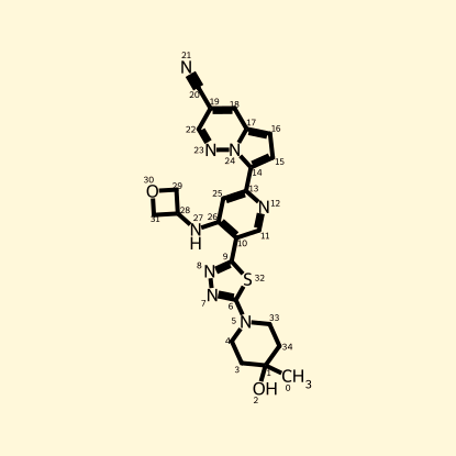 CC1(O)CCN(c2nnc(-c3cnc(-c4ccc5cc(C#N)cnn45)cc3NC3COC3)s2)CC1